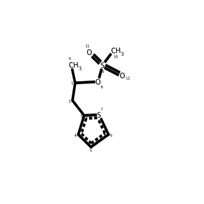 CC(Cc1cccs1)OS(C)(=O)=O